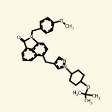 COc1ccc(CN2C(=O)c3cccc4c(Cc5cnn(C6CCC(OC(C)(C)C)CC6)c5)ccc2c34)cc1